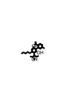 C=C(C)c1ccc(C)cc1-c1c(O)cc(CCCCC)c(-c2c(C)noc2C)c1O